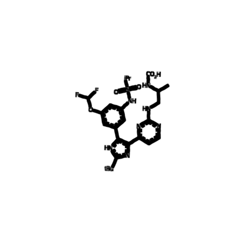 CC(CNc1nccc(-c2nc(C(C)(C)C)[nH]c2-c2cc(NS(=O)(=O)C(C)C)cc(OC(F)F)c2)n1)NC(=O)O